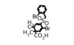 CC1C=C(S(=O)(=O)Cc2ccccc2Br)C(Br)=CC1(C)C(=O)O